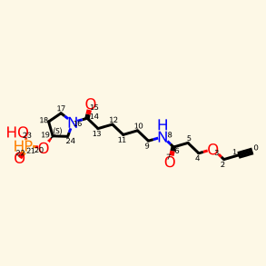 C#CCOCCC(=O)NCCCCCC(=O)N1CC[C@H](O[PH](=O)O)C1